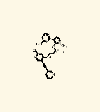 C[C@@H](CCNc1cc(Cl)ncc1C#Cc1cccnc1)Oc1c(-c2nccc(N)n2)cnn1C